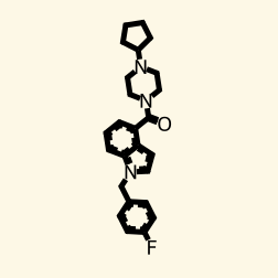 O=C(c1cccc2c1ccn2Cc1ccc(F)cc1)N1CCN(C2CCCC2)CC1